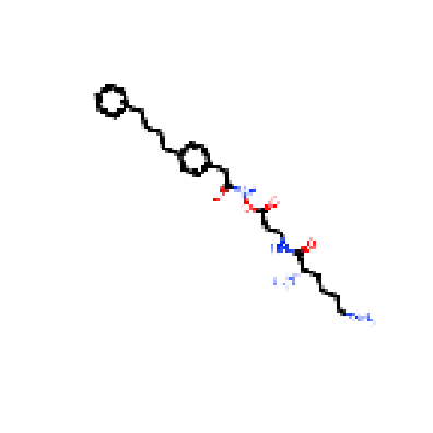 NCCCC[C@H](N)C(=O)NCCC(=O)ONC(=O)Cc1ccc(CCCCc2ccccc2)cc1